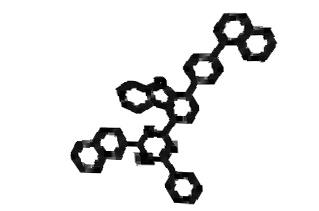 c1ccc(C2=NC(c3ccc(-c4ccc(-c5cccc6ccccc56)cc4)c4oc5ccccc5c34)=NC(c3ccc4ccccc4c3)N2)cc1